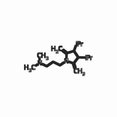 C=C1C(C(C)C)C(C(C)C)C(=C)N1CCCN(C)C